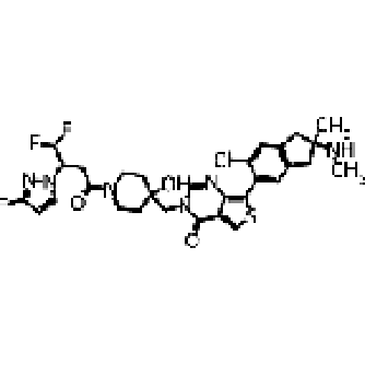 CNC1(C)Cc2cc(Cl)c(-c3scc4c(=O)n(CC5(O)CCN(C(=O)CC(C(F)F)n6ccc(F)n6)CC5)cnc34)cc2C1